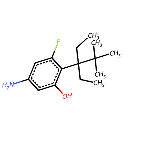 CCC(CC)(c1c(O)cc(N)cc1F)C(C)(C)C